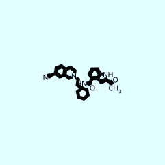 CC(=O)c1cc2c(C(=O)NC3(CCN4CCc5ccc(C#N)cc5C4)CCCCC3)cccc2[nH]1